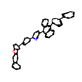 c1ccc(-c2ccc(-c3c4ccccc4c(-c4ccc(-c5ccc(-c6ccc7oc8cc9ccccc9cc8c7c6)cc5)nc4)c4ccccc34)cc2)cc1